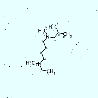 CCN(C)CCCCN(C)CC(C)C